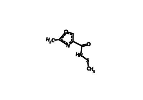 CSNC(=O)c1coc(C)n1